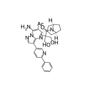 CC(=O)c1c([C@@H]2C[C@H]3CC[C@@H](C2)N3C(=O)C(C)(CO)CO)nc2c(-c3ccc(-c4ccccc4)nc3)cnn2c1N